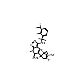 COC1(c2cc3c(NC(C)(C)c4cccc(C(F)F)c4F)ncnc3n(C)c2=O)C[C@@H]2C[C@H]1CN2C(C)=O